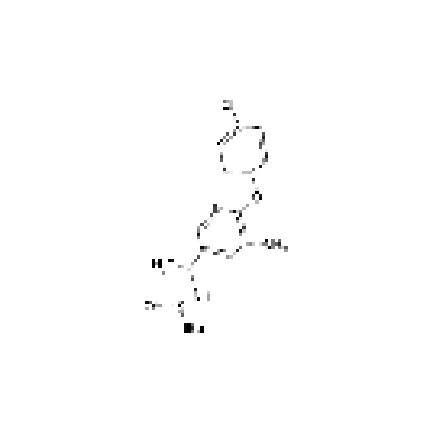 Cc1cc(C(C)N[S+]([O-])C(C)(C)C)cnc1Oc1ccc(Cl)cc1